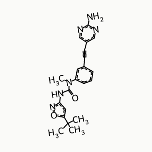 CN(C(=O)Nc1cc(C(C)(C)C)on1)c1cccc(C#Cc2cnc(N)nc2)c1